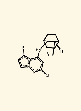 C[C@H]1C2CCC(CC2)[C@@H]1Nc1nc(Cl)nn2ccc(F)c12